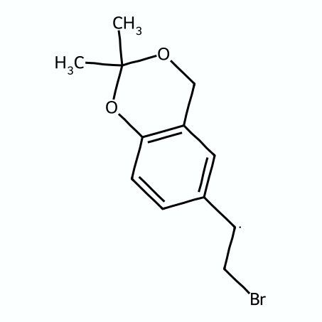 CC1(C)OCc2cc([CH]CBr)ccc2O1